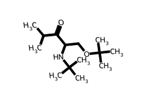 CC(C)C(=O)C(COC(C)(C)C)NC(C)(C)C